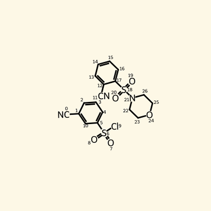 N#Cc1cccc(S(=O)(=O)Cl)c1.N#Cc1ccccc1S(=O)(=O)N1CCOCC1